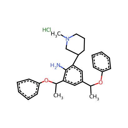 CC(Oc1ccccc1)c1cc(C2CCCN(C)C2)c(N)c(C(C)Oc2ccccc2)c1.Cl